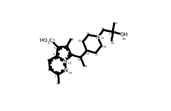 Cc1ccc2c(C(=O)O)c(C)c(C(C)C3CCN(CC(C)(C)O)CC3)n2n1